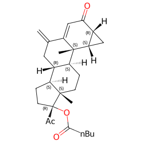 C=C1C[C@@H]2[C@H](CC[C@@]3(C)[C@H]2CC[C@]3(OC(=O)CCCC)C(C)=O)[C@]2(C)C1=CC(=O)[C@@H]1C[C@@H]12